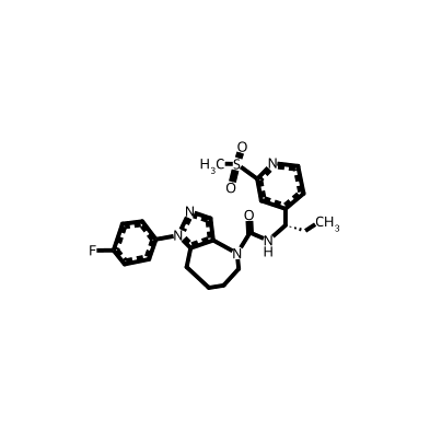 CC[C@H](NC(=O)N1CCCCc2c1cnn2-c1ccc(F)cc1)c1ccnc(S(C)(=O)=O)c1